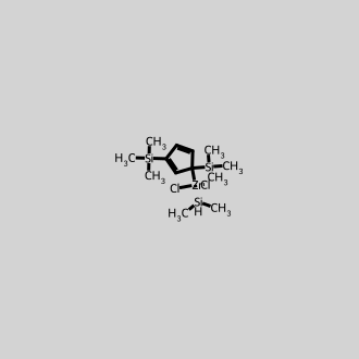 C[SiH](C)[Zr]([Cl])([Cl])[C]1([Si](C)(C)C)C=CC([Si](C)(C)C)=C1